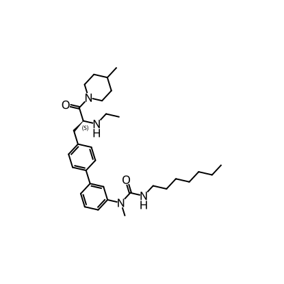 CCCCCCCNC(=O)N(C)c1cccc(-c2ccc(C[C@H](NCC)C(=O)N3CCC(C)CC3)cc2)c1